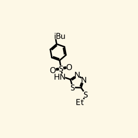 CCSc1nnc(NS(=O)(=O)c2ccc(C(C)CC)cc2)s1